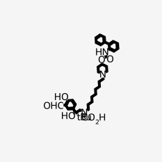 CC(C)(C)[C@](O)(CN(CCCCCCCCCN1CCC(OC(=O)Nc2ccccc2-c2ccccc2)CC1)C(=O)O)c1ccc(O)c(C=O)c1